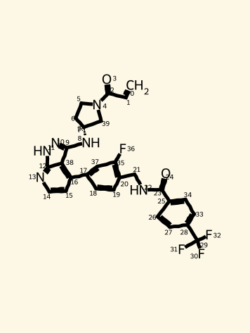 C=CC(=O)N1CC[C@@H](Nc2n[nH]c3nccc(-c4ccc(CNC(=O)c5ccc(C(F)(F)F)cc5)c(F)c4)c23)C1